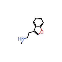 CNCCc1coc2ccccc12